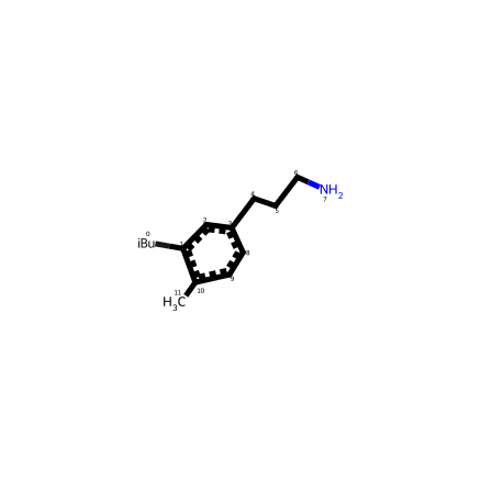 CCC(C)c1cc(CCCN)ccc1C